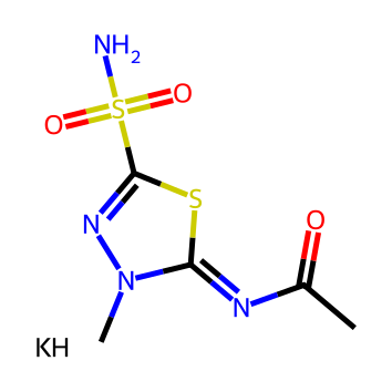 CC(=O)/N=c1\sc(S(N)(=O)=O)nn1C.[KH]